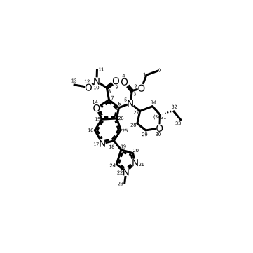 CCOC(=O)N(c1c(C(=O)N(C)OC)oc2cnc(-c3cnn(C)c3)cc12)C1CCO[C@@H](CC)C1